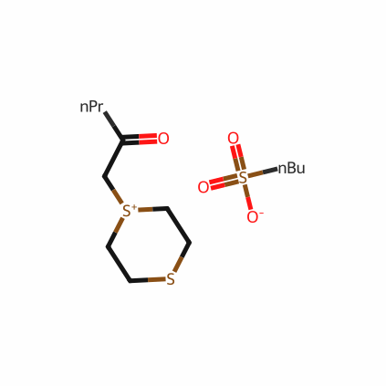 CCCC(=O)C[S+]1CCSCC1.CCCCS(=O)(=O)[O-]